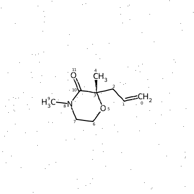 C=CC[C@]1(C)OCCN(C)C1=O